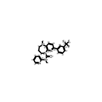 CN1CCCN(C(=O)N(C)c2ccccn2)c2nc(-c3cccc(C(F)(F)F)c3)ccc21